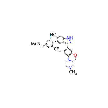 CNCc1cc(F)c(-c2cc3c(-c4ccc5c(c4)OCC4CN(C)CCN54)n[nH]c3cc2C#N)c(C(F)(F)F)c1